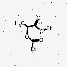 C[CH]C(=O)OC(C)C(=O)OCC